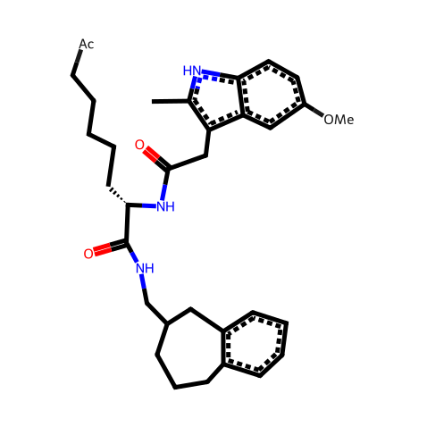 COc1ccc2[nH]c(C)c(CC(=O)N[C@@H](CCCCCC(C)=O)C(=O)NCC3CCCc4ccccc4C3)c2c1